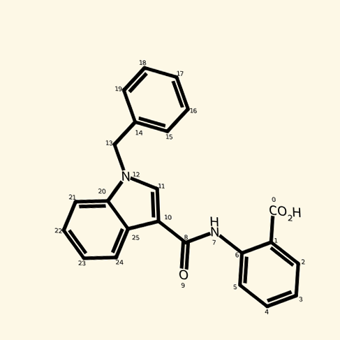 O=C(O)c1ccccc1NC(=O)c1cn(Cc2ccccc2)c2ccccc12